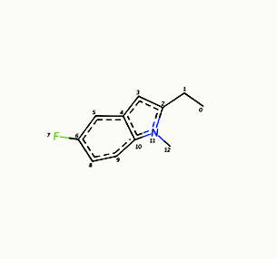 CCc1cc2cc(F)ccc2n1C